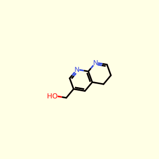 OCc1cnc2c(c1)CCC=N2